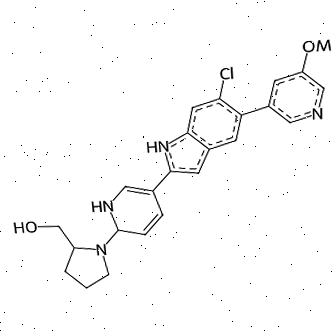 COc1cncc(-c2cc3cc(C4=CNC(N5CCCC5CO)C=C4)[nH]c3cc2Cl)c1